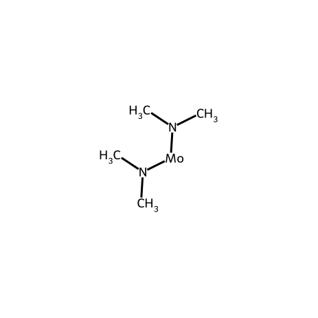 C[N](C)[Mo][N](C)C